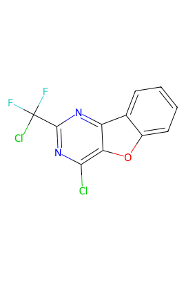 FC(F)(Cl)c1nc(Cl)c2oc3ccccc3c2n1